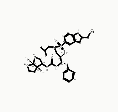 CC(C)CN(C[C@@H](O)[C@H](Cc1ccccc1)NC(=O)OC1CO[C@H]2OCC[C@@H]12)S(=O)(=O)c1ccc2c(c1)CC(CO)O2